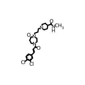 CNC(=O)C1CCN(CCCN2CCN(C(=O)C=Cc3ccc(Cl)c(Cl)c3)CCC2=O)CC1